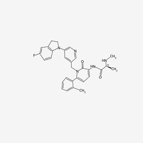 CN[C@@H](C)C(=O)Nc1ccc(-c2ccccc2C)n(Cc2cncc(N3CCc4cc(F)ccc43)c2)c1=O